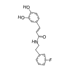 O=C(/C=C/c1ccc(O)c(O)c1)NCCc1cccc(F)c1